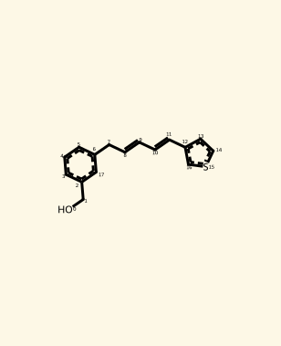 OCc1cccc(CC=CC=Cc2ccsc2)c1